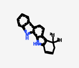 [2H]C1([2H])CC=Cc2[nH]c3c(ccc4c5ccccc5[nH]c43)c21